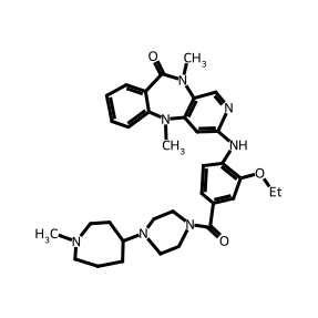 CCOc1cc(C(=O)N2CCN(C3CCCN(C)CC3)CC2)ccc1Nc1cc2c(cn1)N(C)C(=O)c1ccccc1N2C